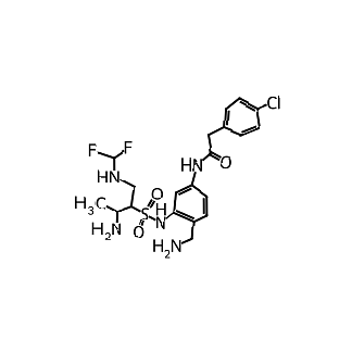 CC(N)C(CNC(F)F)S(=O)(=O)Nc1cc(NC(=O)Cc2ccc(Cl)cc2)ccc1CN